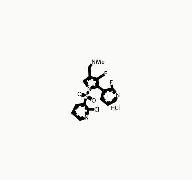 CNCc1cn(S(=O)(=O)c2cccnc2Cl)c(-c2cccnc2F)c1F.Cl